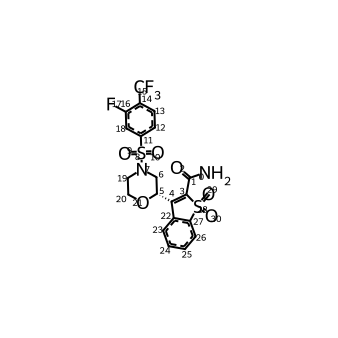 NC(=O)C1=C([C@H]2CN(S(=O)(=O)c3ccc(C(F)(F)F)c(F)c3)CCO2)c2ccccc2S1(=O)=O